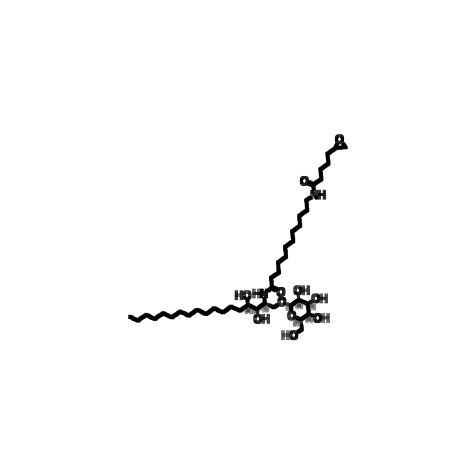 CCCCCCCCCCCCCC[C@@H](O)[C@@H](O)[C@H](CO[C@H]1O[C@H](CO)[C@H](O)[C@H](O)[C@H]1O)NC(=O)CCCCCCCCCCCNC(=O)CCCCC1CO1